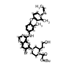 C=C1C=C(Oc2ccc(Nc3ncnc4cc(Br)c(N5CCN(C(=O)OC(C)(C)C)C(CCO)C5)nc34)cc2C)C=CN1/N=C\C